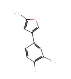 [CH2]c1cc(-c2ccc(F)c(F)c2)co1